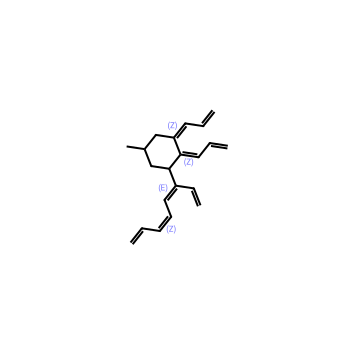 C=C/C=C\C=C(/C=C)C1CC(C)CC(=C/C=C)/C1=C\C=C